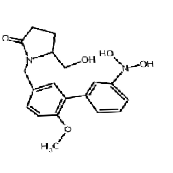 COc1ccc(CN2C(=O)CCC2CO)cc1-c1cccc(N(O)O)c1